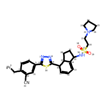 CC(C)Cc1ccc(-c2nnc(C3C=CC=C4C(NS(=O)(=O)CCN5CCCC5)CCC43)s2)cc1C#N